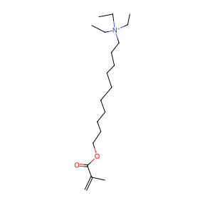 C=C(C)C(=O)OCCCCCCCCCC[N+](CC)(CC)CC